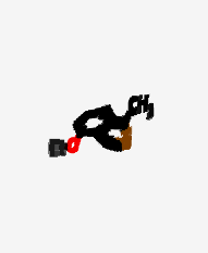 CCOc1cccc2c(C)scc12